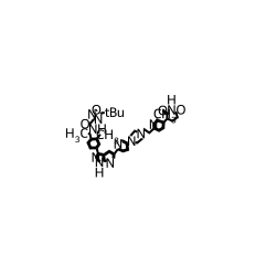 Cc1cc(-c2n[nH]c3ncc(-c4ccc(N5CCN(CCc6ccc(C7CCC(=O)NC7=O)c(C)n6)CC5)cn4)cc23)ccc1C(C)NC(=O)c1noc(C(C)(C)C)n1